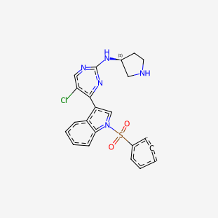 O=S(=O)(c1ccccc1)n1cc(-c2nc(N[C@H]3CCNC3)ncc2Cl)c2ccccc21